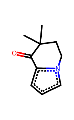 CC1(C)CCn2cccc2C1=O